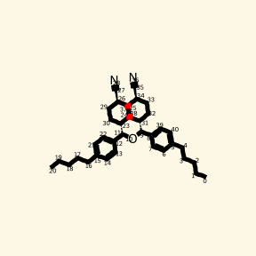 CCCCCc1ccc(C(OC(c2ccc(CCCCC)cc2)[C@H]2CC[C@H](C#N)CC2)[C@H]2CC[C@H](C#N)CC2)cc1